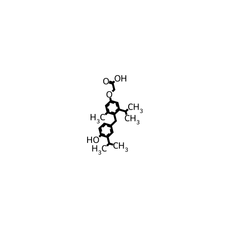 Cc1cc(OCC(=O)O)cc(C(C)C)c1Cc1ccc(O)c(C(C)C)c1